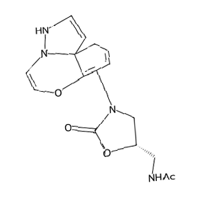 CC(=O)NC[C@H]1CN(C2=C3OC=CN4NC=CC34CC=C2)C(=O)O1